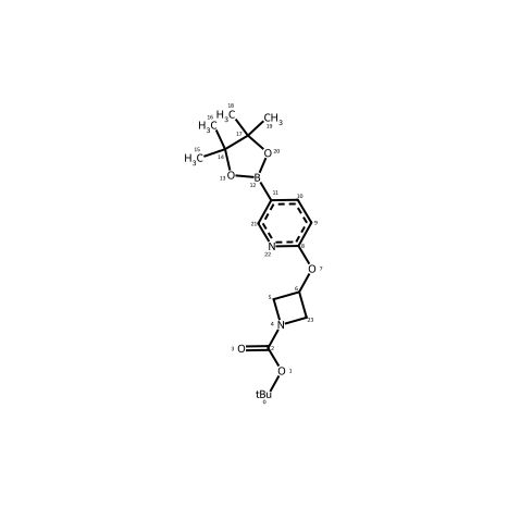 CC(C)(C)OC(=O)N1CC(Oc2ccc(B3OC(C)(C)C(C)(C)O3)cn2)C1